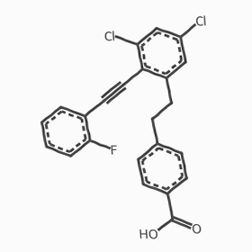 O=C(O)c1ccc(CCc2cc(Cl)cc(Cl)c2C#Cc2ccccc2F)cc1